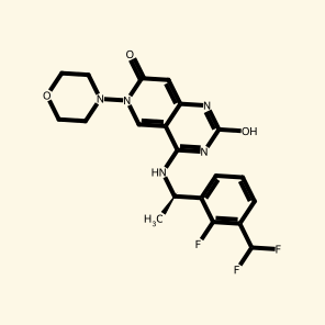 C[C@@H](Nc1nc(O)nc2cc(=O)n(N3CCOCC3)cc12)c1cccc(C(F)F)c1F